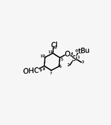 CC(C)(C)[Si](C)(C)OC1CCC(C=O)CC1Cl